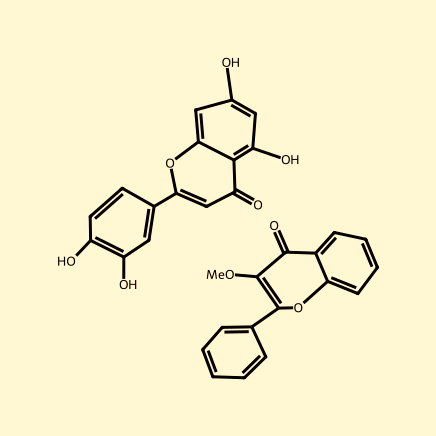 COc1c(-c2ccccc2)oc2ccccc2c1=O.O=c1cc(-c2ccc(O)c(O)c2)oc2cc(O)cc(O)c12